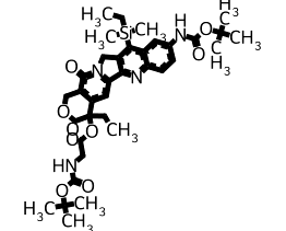 CCC1(OC(=O)CNC(=O)OC(C)(C)C)C(=O)OCc2c1cc1n(c2=O)Cc2c-1nc1ccc(NC(=O)OC(C)(C)C)cc1c2[Si](C)(C)CC